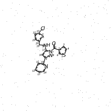 O=C(c1ccsc1)n1nc(-c2ccccn2)cc1NCc1ccc(Cl)s1